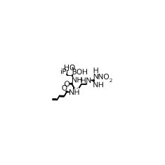 C=C/C=C/C(=O)N[C@@H](CCCNC(=N)N[N+](=O)[O-])C(=O)N[C@@H](CC(C)C)B(O)O